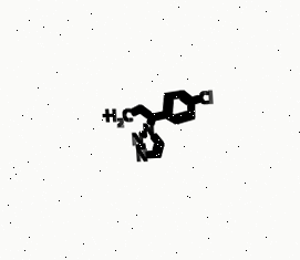 [CH2]CC(c1ccc(Cl)cc1)n1ccnn1